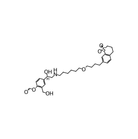 O=COc1ccc([C@@H](O)CNCCCCCCOCCCCc2ccc3c(c2)S(=O)(=O)CCC3)cc1CO